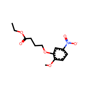 CCOC(=O)CCCOc1cc([N+](=O)[O-])ccc1OC